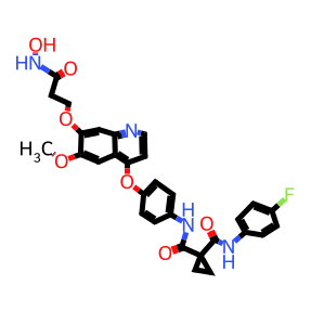 COc1cc2c(Oc3ccc(NC(=O)C4(C(=O)Nc5ccc(F)cc5)CC4)cc3)ccnc2cc1OCCC(=O)NO